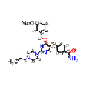 C=CCN1CCN(c2ncc(Sc3ccc(C(N)=O)cc3)c(OCc3cccc(OC)c3)n2)CC1